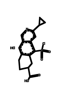 Cl.O=C(O)C1CCc2cc3cnc(C4CC4)cc3c(S(=O)(=O)Cl)c2C1